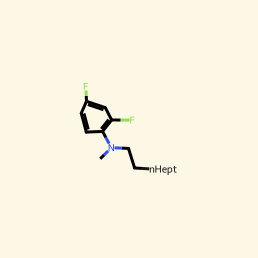 CCCCCCCCCN(C)c1ccc(F)cc1F